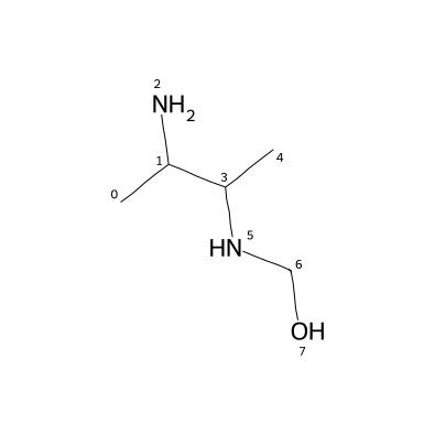 CC(N)C(C)NCO